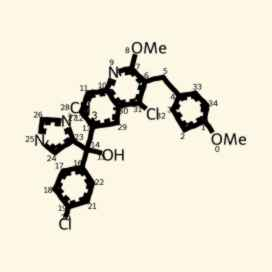 COc1ccc(Cc2c(OC)nc3ccc(C(O)(c4ccc(Cl)cc4)c4cncn4C)cc3c2Cl)cc1